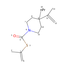 C=C(C)SC(=O)N1CCC(CCC)(C(=C)C)CC1